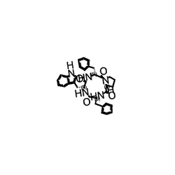 O=C1N[C@H](Cc2c[nH]c3ccccc23)C(=O)N[C@H](Cc2ccccc2)C(=O)N2CCC[C@H]2C(=O)N[C@H]1Cc1ccccc1